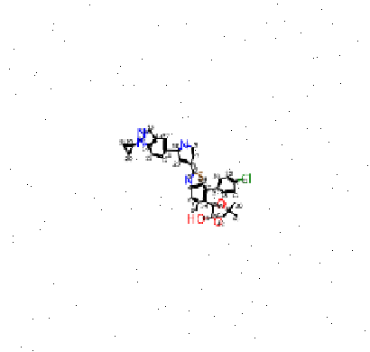 Cc1cc2nc(-c3ccnc(-c4ccc5c(cnn5C5CC5)c4)c3)sc2c(-c2ccc(Cl)cc2)c1[C@H](OC(C)(C)C)C(=O)O